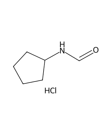 Cl.O=CNC1CCCC1